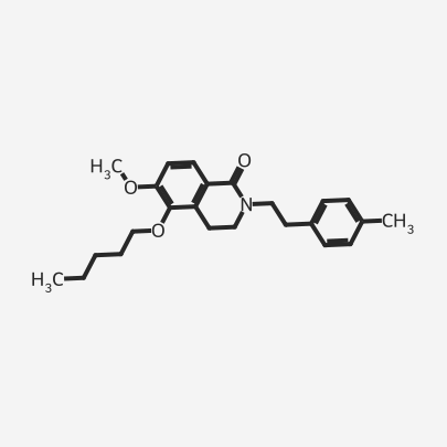 CCCCCOc1c(OC)ccc2c1CCN(CCc1ccc(C)cc1)C2=O